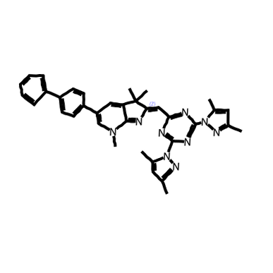 Cc1cc(C)n(-c2nc(/C=C3\N=C4C(=CC(c5ccc(-c6ccccc6)cc5)=CN4C)C3(C)C)nc(-n3nc(C)cc3C)n2)n1